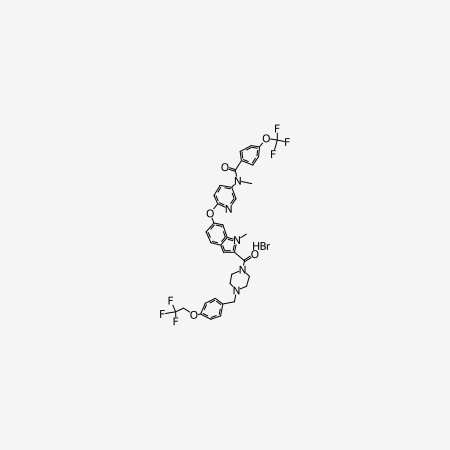 Br.CN(C(=O)c1ccc(OC(F)(F)F)cc1)c1ccc(Oc2ccc3cc(C(=O)N4CCN(Cc5ccc(OCC(F)(F)F)cc5)CC4)n(C)c3c2)nc1